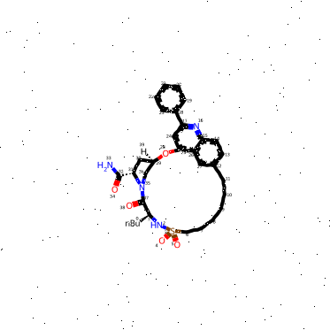 CCCC[C@@H]1NS(=O)(=O)CCCCCCc2ccc3nc(-c4ccccc4)cc(c3c2)O[C@@H]2C[C@@H](C(N)=O)N(C2)C1=O